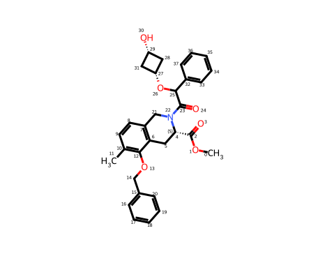 COC(=O)[C@@H]1Cc2c(ccc(C)c2OCc2ccccc2)CN1C(=O)C(O[C@H]1C[C@@H](O)C1)c1ccccc1